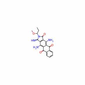 CCC(OC)n1c(=N)c2c(N)c3c(=O)c4ccccc4c(=O)c3c(N)c2c1=O